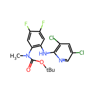 CN(C(=O)OC(C)(C)C)c1cc(F)c(F)cc1Nc1ncc(Cl)cc1Cl